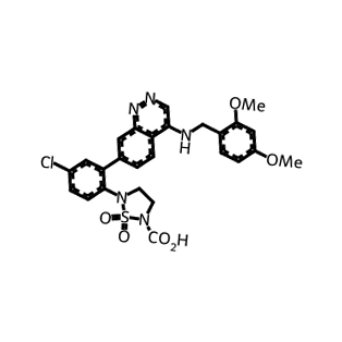 COc1ccc(CNc2cnnc3cc(-c4cc(Cl)ccc4N4CCN(C(=O)O)S4(=O)=O)ccc23)c(OC)c1